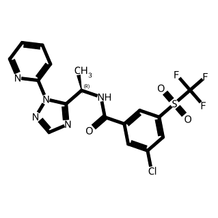 C[C@@H](NC(=O)c1cc(Cl)cc(S(=O)(=O)C(F)(F)F)c1)c1ncnn1-c1ccccn1